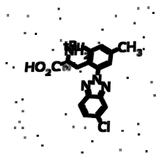 Cc1cc(-n2nc3ccc(Cl)cc3n2)c(C[C@H](N)C(=O)O)c(C(C)(C)C)c1